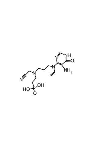 C=CN(CCCN(CC#N)CCP(=O)(O)O)c1nc[nH]c(=O)c1N